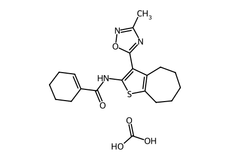 Cc1noc(-c2c(NC(=O)C3=CCCCC3)sc3c2CCCCC3)n1.O=C(O)O